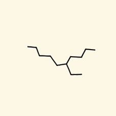 CCCCCC(CC)CCCC